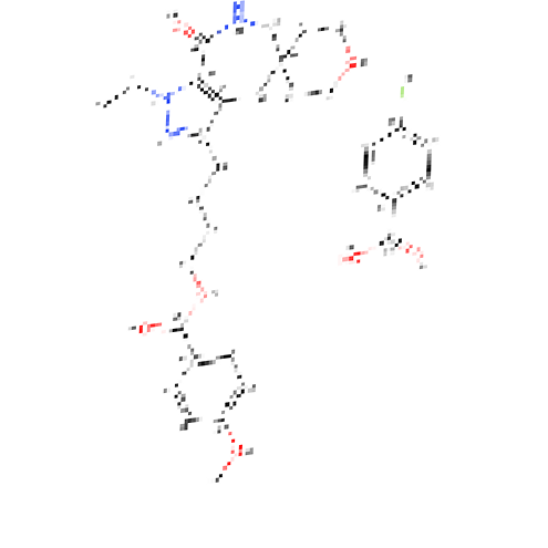 CCn1nc(CCCCOC(=O)c2ccc(OC)cc2)c2c1C(=O)NCC1(CCOCC1)C2.O=C(O)c1ccc(F)cc1